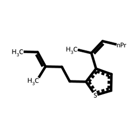 C/C=C(\C)CCc1sccc1/C(C)=C\CCC